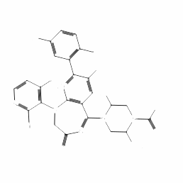 Cc1ccc(F)c(-c2nc3c(cc2Cl)C(N2CC(C)N(C(=O)C=O)CC2C)=NC(=O)CN3c2c(C)ccnc2C(C)C)c1